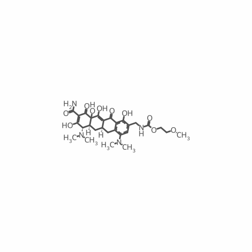 COCCOC(=O)NCc1cc(N(C)C)c2c(c1O)C(=O)C1=C(O)C3(O)C(=O)C(C(N)=O)=C(O)[C@@H](N(C)C)[C@@H]3C[C@@H]1C2